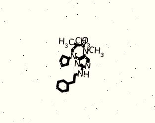 CN1C(=O)C(C)(C)CN(C2CCCC2)c2nc(NCCC3CCCCC3)ncc21